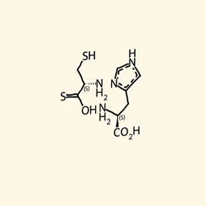 N[C@@H](CS)C(O)=S.N[C@@H](Cc1c[nH]cn1)C(=O)O